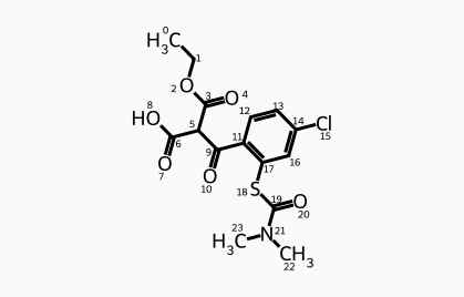 CCOC(=O)C(C(=O)O)C(=O)c1ccc(Cl)cc1SC(=O)N(C)C